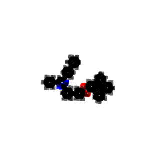 c1ccc(-c2ccc(-c3cc(-c4ccccc4)nc(-c4cccc(-c5ccc6c(c5)Oc5ccc7c(c5O6)-c5ccccc5C7(c5ccccc5)c5ccccc5)c4)n3)cc2)cc1